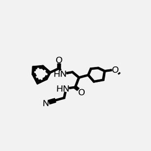 COC1CCC(C(CNC(=O)c2ccccc2)C(=O)NCC#N)CC1